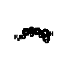 O=S(=O)(c1cccc(OC(F)(F)F)c1)c1ccc2c3c(oc2c1)C1(CCOCC1)NCC3